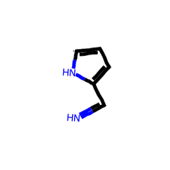 N=Cc1cc[c][nH]1